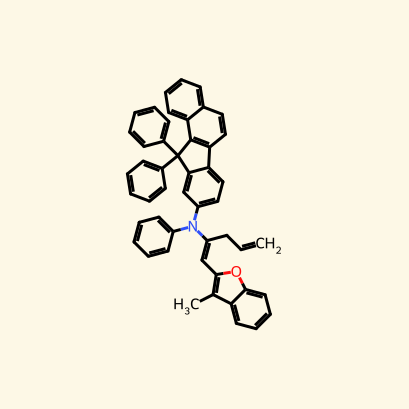 C=CC/C(=C\c1oc2ccccc2c1C)N(c1ccccc1)c1ccc2c(c1)C(c1ccccc1)(c1ccccc1)c1c-2ccc2ccccc12